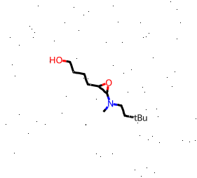 CN(CCC(C)(C)C)C1OC1CCCCO